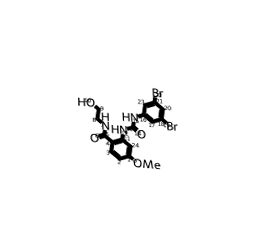 COc1ccc(C(=O)NCCO)c(NC(=O)Nc2cc(Br)cc(Br)c2)c1